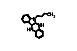 CCCCN1c2ccccc2C2Nc3ccccc3NC21